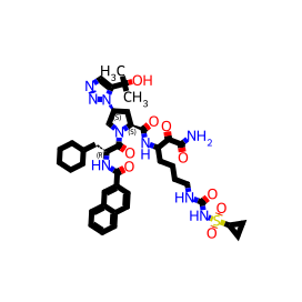 CC(C)(O)c1cnnn1[C@H]1C[C@@H](C(=O)NC(CCCCNC(=O)NS(=O)(=O)C2CC2)C(=O)C(N)=O)N(C(=O)[C@@H](CC2CCCCC2)NC(=O)c2ccc3ccccc3c2)C1